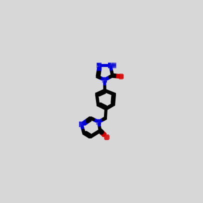 O=c1ccncn1Cc1ccc(-n2cn[nH]c2=O)cc1